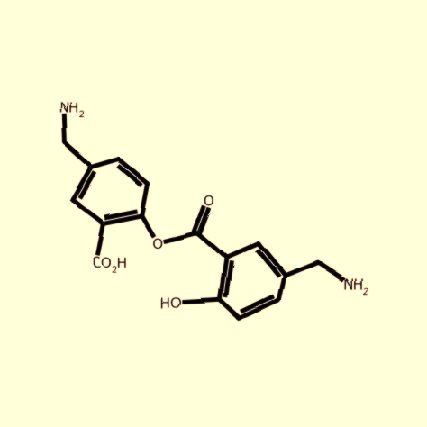 NCc1ccc(O)c(C(=O)Oc2ccc(CN)cc2C(=O)O)c1